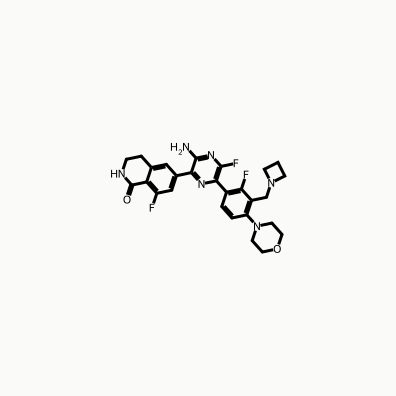 Nc1nc(F)c(-c2ccc(N3CCOCC3)c(CN3CCC3)c2F)nc1-c1cc(F)c2c(c1)CCNC2=O